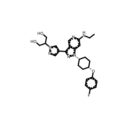 CCNc1cc2c(cn1)c(-c1cnn(C(CO)CO)c1)nn2[C@H]1CC[C@@H](Oc2ccc(F)cc2)CC1